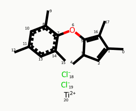 CC1=CC(C)C(Oc2c(C)cc(C)cc2C)=C1C.[Cl-].[Cl-].[Ti+2]